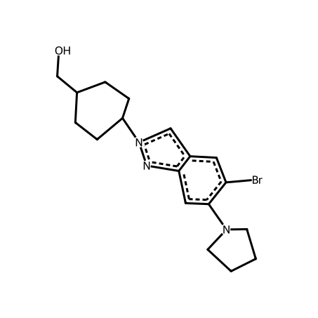 OCC1CCC(n2cc3cc(Br)c(N4CCCC4)cc3n2)CC1